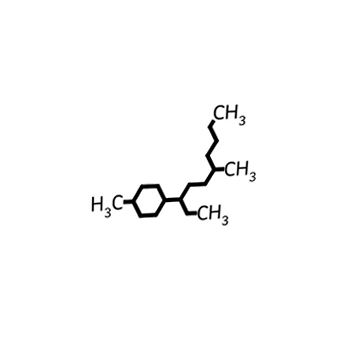 CCCCC(C)CCC(CC)C1CCC(C)CC1